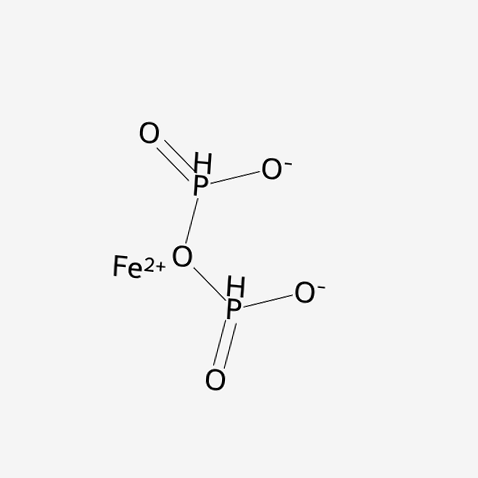 O=[PH]([O-])O[PH](=O)[O-].[Fe+2]